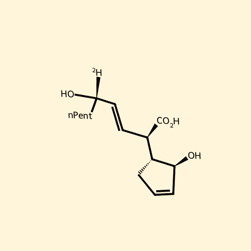 [2H][C@@](O)(C=C[C@@H](C(=O)O)[C@H]1CC=C[C@@H]1O)CCCCC